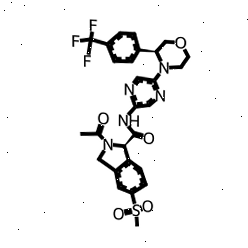 CC(=O)N1Cc2cc(S(C)(=O)=O)ccc2[C@@H]1C(=O)Nc1cnc(N2CCOC[C@@H]2c2ccc(C(F)(F)F)cc2)cn1